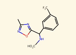 Cc1noc(C(NC(=O)O)c2cccc(C(F)(F)F)c2)n1